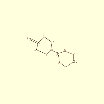 O=C1CCC(N2CCOCC2)CC1